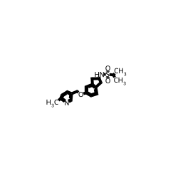 Cc1ccc(COc2ccc3c(c2)C[C@@H](NS(=O)(=O)C(C)C)C3)cn1